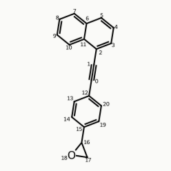 C(#Cc1cccc2ccccc12)c1ccc(C2CO2)cc1